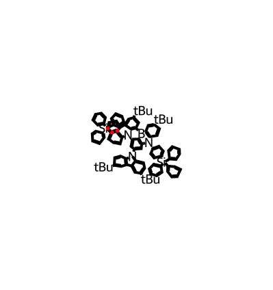 CC(C)(C)c1ccc2c(c1)B1c3cc(C(C)(C)C)cc(-c4ccccc4)c3N(c3cccc([Si](c4ccccc4)(c4ccccc4)c4ccccc4)c3)c3cc(-n4c5ccc(C(C)(C)C)cc5c5cc(C(C)(C)C)ccc54)cc(c31)N2c1ccc([Si](c2ccccc2)(c2ccccc2)c2ccccc2)cc1